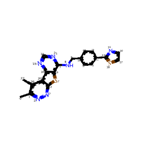 Cc1nnc2sc3c(NCc4ccc(-c5nccs5)cc4)ncnc3c2c1C